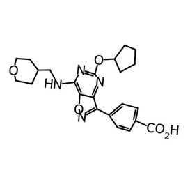 O=C(O)c1ccc(-c2noc3c(NCC4CCOCC4)nc(OC4CCCC4)nc23)cc1